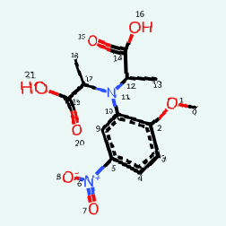 COc1ccc([N+](=O)[O-])cc1N(C(C)C(=O)O)C(C)C(=O)O